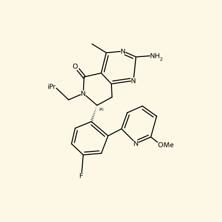 COc1cccc(-c2cc(F)ccc2[C@H]2Cc3nc(N)nc(C)c3C(=O)N2CC(C)C)n1